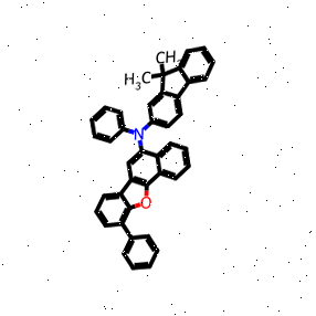 CC1(C)c2ccccc2-c2ccc(N(c3ccccc3)c3cc4c5cccc(-c6ccccc6)c5oc4c4ccccc34)cc21